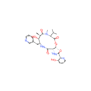 CC(C)C1C(=O)O[C@H](C)[C@H](NC(=O)c2ncccc2O)C(=O)N[C@@H](Cc2cccnc2)[C@@H](O)[C@@H](C)C(=O)N1C